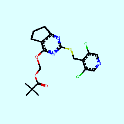 CC(C)(C)C(=O)OCOc1nc(SCc2c(Cl)cncc2Cl)nc2c1CCC2